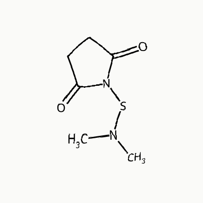 CN(C)SN1C(=O)CCC1=O